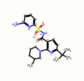 CC1CCCN(c2nc(C(C)(C)C)ccc2C(=O)NS(=O)(=O)c2cccc(N)n2)C1